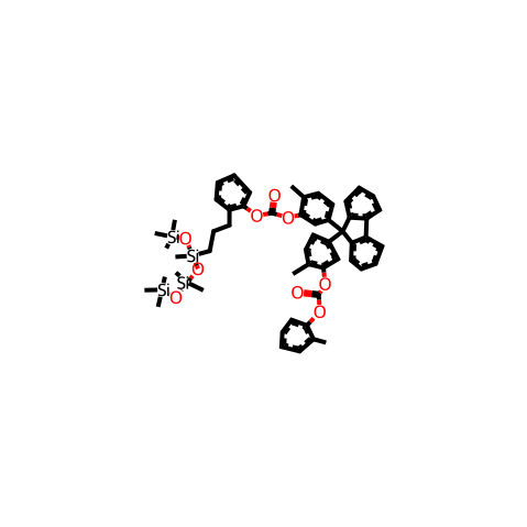 Cc1ccccc1OC(=O)Oc1cc(C2(c3ccc(C)c(OC(=O)Oc4ccccc4CCC[Si](C)(O[Si](C)(C)C)O[Si](C)(C)O[Si](C)(C)C)c3)c3ccccc3-c3ccccc32)ccc1C